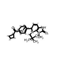 Cn1c2c([nH]c1=O)C=CC(C1=CC3CCC1CN3C(=O)C1CCC1)N2CC(C)(C)C